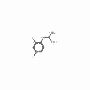 CC(C)(C)[C@H](Nc1ccc(F)cc1F)C(=O)O